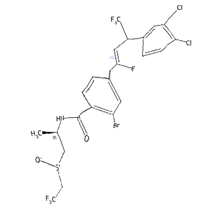 C[C@H](C[S+]([O-])CC(F)(F)F)NC(=O)c1ccc(/C(F)=C/C(c2ccc(Cl)c(Cl)c2)C(F)(F)F)cc1Br